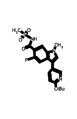 CC(C)COc1ccc(-c2cn(C)c3cc(C(=O)NS(C)(=O)=O)c(F)cc23)cn1